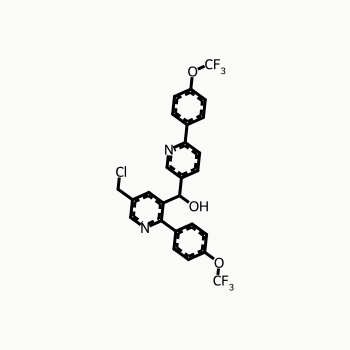 OC(c1ccc(-c2ccc(OC(F)(F)F)cc2)nc1)c1cc(CCl)cnc1-c1ccc(OC(F)(F)F)cc1